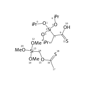 CC(C)O[Si](OC(C)C)(OC(C)C)C(C)C(O)=S.CO[Si](COC(C)=S)(OC)OC